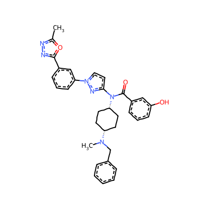 Cc1nnc(-c2cccc(-n3ccc(N(C(=O)c4cccc(O)c4)[C@H]4CC[C@@H](N(C)Cc5ccccc5)CC4)n3)c2)o1